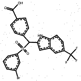 O=C(O)c1ccc(C(c2cc3cc(C(F)(F)F)ccc3[nH]2)S(=O)(=O)c2cccc(Br)c2)cc1